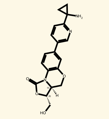 NC1(c2ccc(-c3ccc4c(c3)OC[C@H]3[C@H](CO)OC(=O)N43)cn2)CC1